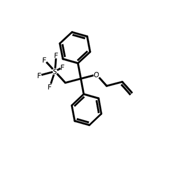 C=CCOC(CS(F)(F)(F)(F)F)(c1ccccc1)c1ccccc1